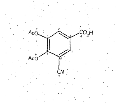 CC(=O)Oc1cc(C(=O)O)cc(C#N)c1OC(C)=O